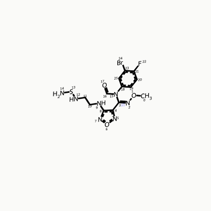 CO/N=C(/c1nonc1NCCNSN)N(C=O)c1ccc(F)c(Br)c1